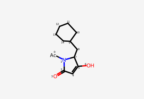 CC(=O)N1C(=O)C=C(O)C1CC1CCCCC1